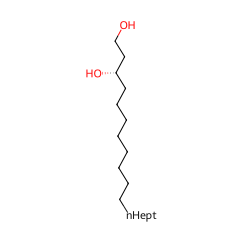 CCCCCCCCCCCCCCC[C@H](O)CCO